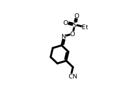 CCS(=O)(=O)ON=C1C=C(CC#N)CCC1